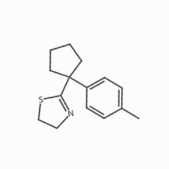 Cc1ccc(C2(C3=NCCS3)CCCC2)cc1